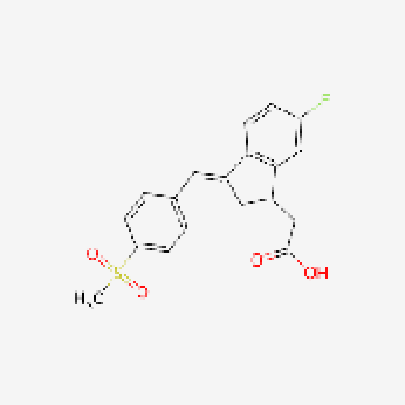 CS(=O)(=O)c1ccc(/C=C2\CC(CC(=O)O)c3cc(F)ccc32)cc1